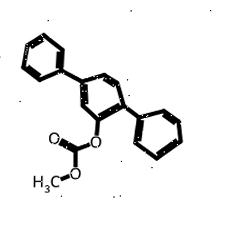 COC(=O)Oc1cc(-c2ccccc2)ccc1-c1ccccc1